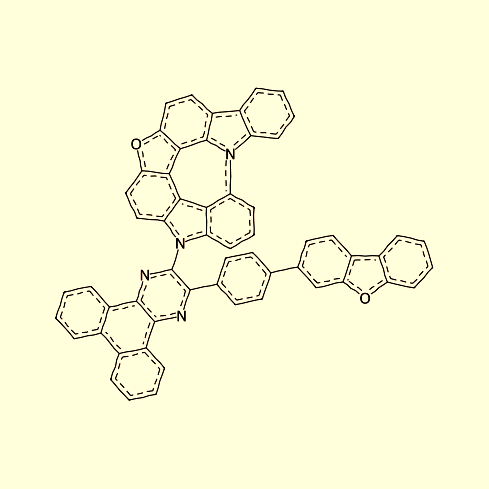 c1ccc2c(c1)oc1cc(-c3ccc(-c4nc5c6ccccc6c6ccccc6c5nc4-n4c5ccc6oc7ccc8c9ccccc9n9c%10cccc4c%10c5c6c7c89)cc3)ccc12